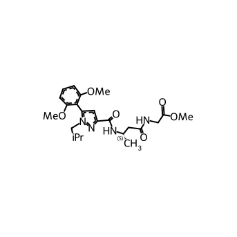 COC(=O)CNC(=O)C[C@H](C)NC(=O)c1cc(-c2c(OC)cccc2OC)n(CC(C)C)n1